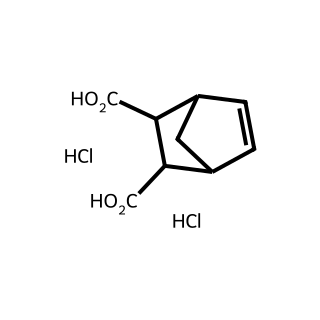 Cl.Cl.O=C(O)C1C2C=CC(C2)C1C(=O)O